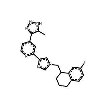 Cc1[nH]nnc1-c1ccnc(-c2cn(CC3CCCc4ccc(F)cc43)cn2)c1